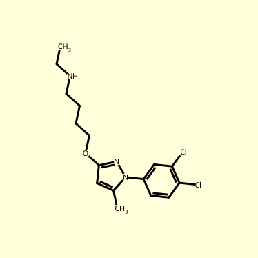 CCNCCCCOc1cc(C)n(-c2ccc(Cl)c(Cl)c2)n1